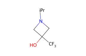 CC(C)N1CC(O)(C(F)(F)F)C1